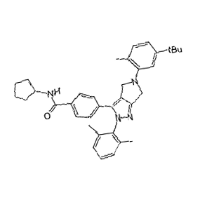 Cc1ccc(C(C)(C)C)cc1N1Cc2nn(-c3c(C)cccc3C)c(-c3ccc(C(=O)NC4CCCC4)cc3)c2C1